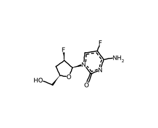 Nc1nc(=O)n([C@H]2O[C@@H](CO)C[C@H]2F)cc1F